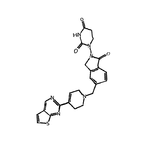 O=C1CCN(N2Cc3cc(CN4CC=C(c5ncc6ccsc6n5)CC4)ccc3C2=O)C(=O)N1